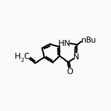 C=Cc1ccc2[nH]c(CCCC)nc(=O)c2c1